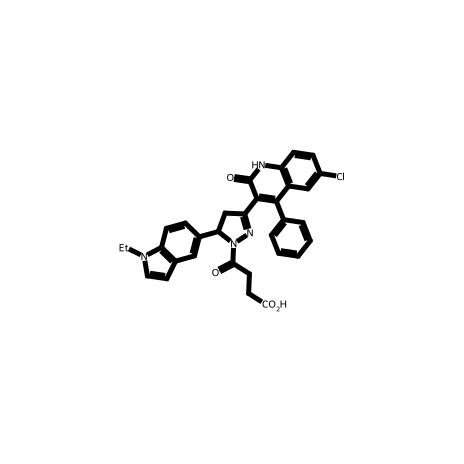 CCn1ccc2cc(C3CC(c4c(-c5ccccc5)c5cc(Cl)ccc5[nH]c4=O)=NN3C(=O)CCC(=O)O)ccc21